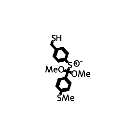 COC(OC)(c1ccc(SC)cc1)[S+]([O-])c1ccc(CS)cc1